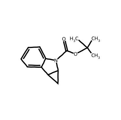 CC(C)(C)OC(=O)N1c2ccccc2C2CC21